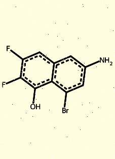 Nc1cc(Br)c2c(O)c(F)c(F)cc2c1